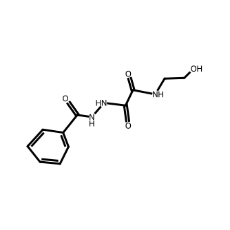 O=C(NCCO)C(=O)NNC(=O)c1ccccc1